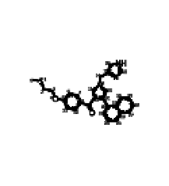 CSCCOc1ccc(C(=O)c2cn(Cc3c[nH]cn3)cc2-c2cccc3ccccc23)cc1